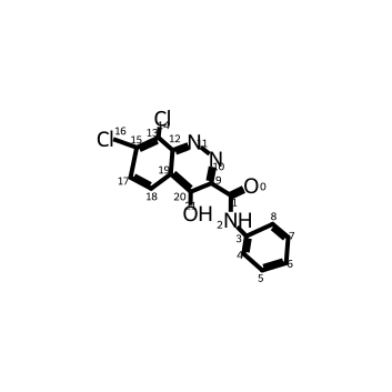 O=C(Nc1ccccc1)c1nnc2c(Cl)c(Cl)ccc2c1O